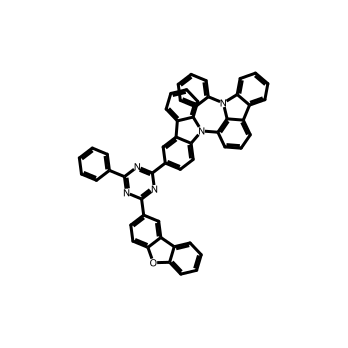 c1ccc(-c2nc(-c3ccc4oc5ccccc5c4c3)nc(-c3ccc4c(c3)c3ccccc3n4-c3cccc4c5ccccc5n(-c5ccccc5)c34)n2)cc1